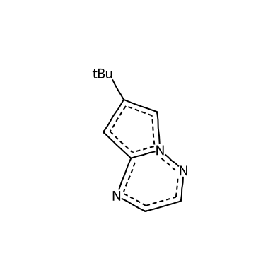 CC(C)(C)c1cc2nccnn2c1